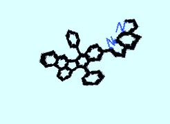 c1ccc(-c2c3c(c(-c4ccccc4)c4cc(-c5ccc6ccc7cccnc7c6n5)ccc24)-c2cccc4c2c-3cc2ccccc24)cc1